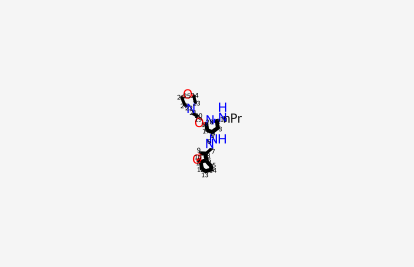 CCCNc1cc(N/N=C/c2coc3ccccc23)cc(OCCN2CCOCC2)n1